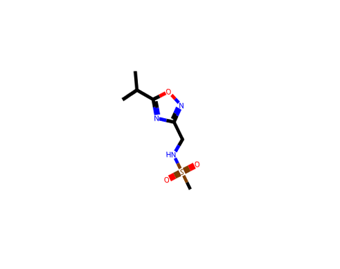 CC(C)c1nc(CNS(C)(=O)=O)no1